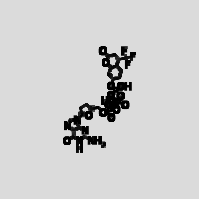 Nc1nc2c(ncn2[C@H]2CC[C@@H](COP(=O)(O)OP(=O)(O)OP(=O)(O)Oc3ccc4c(C(F)(F)F)cc(=O)oc4c3)O2)c(=O)[nH]1